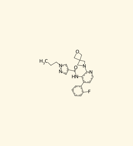 CCCn1cc(C(=O)Nc2c(-c3ccccc3F)ccnc2N2CC3(COC3)C2)cn1